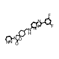 O=C1OC2(CCC(CNc3ccc4nc(-c5cc(F)cc(F)c5)cn4n3)CC2)CN1c1cccnn1